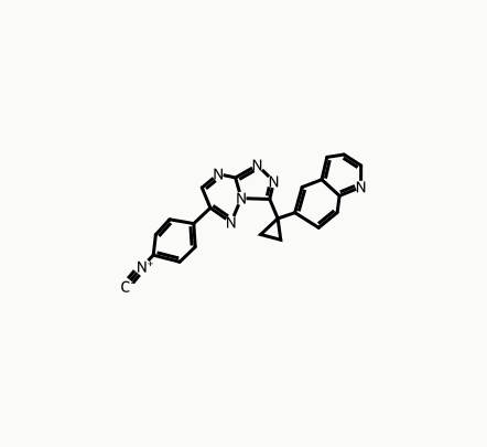 [C-]#[N+]c1ccc(-c2cnc3nnc(C4(c5ccc6ncccc6c5)CC4)n3n2)cc1